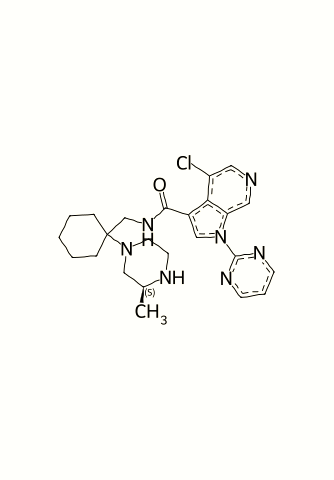 C[C@H]1CN(C2(CNC(=O)c3cn(-c4ncccn4)c4cncc(Cl)c34)CCCCC2)CCN1